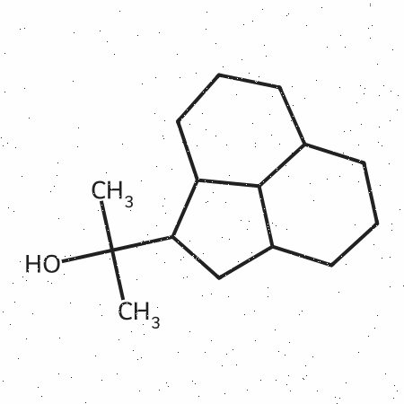 CC(C)(O)C1CC2CCCC3CCCC1C32